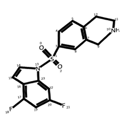 O=S(=O)(c1ccc2c(c1)CNCC2)n1ccc2c(F)cc(F)cc21